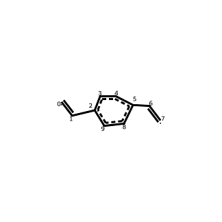 [CH]=Cc1ccc(C=[CH])cc1